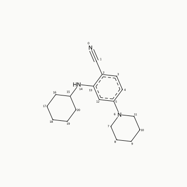 N#Cc1ccc(N2CCCCC2)cc1NC1CCCCC1